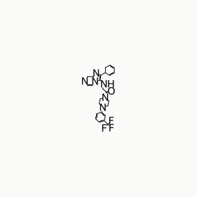 O=C(CNc1c(C2C=CC=CC2)nc2cnccn12)N1CCN(c2cccc(C(F)(F)F)c2)CC1